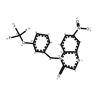 O=c1cnc2cc([N+](=O)[O-])ccc2n1Cc1cccc(OC(F)(F)F)c1